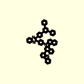 c1ccc(-c2cc(-c3ccccc3)cc(-c3ccc(-c4nc5ccccc5nc4-c4ccc(-n5c6ccc7ccccc7c6c6c7ccccc7c(-c7cccc8c7sc7ccccc78)cc65)cc4)cc3)c2)cc1